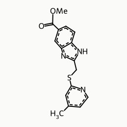 COC(=O)c1ccc2[nH]c(CSc3cc(C)ccn3)nc2c1